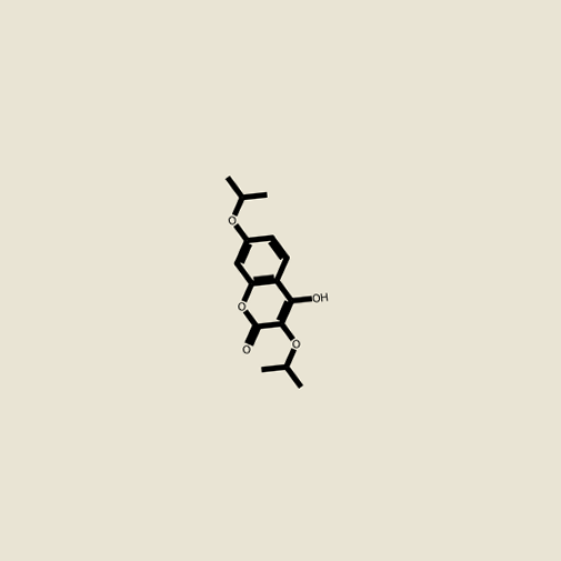 CC(C)Oc1ccc2c(O)c(OC(C)C)c(=O)oc2c1